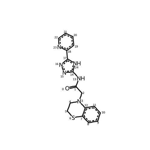 O=C(CN1CCSc2ccccc21)Nc1nnc(-c2ccccn2)[nH]1